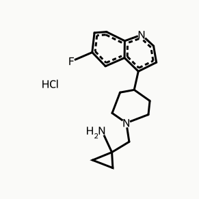 Cl.NC1(CN2CCC(c3ccnc4ccc(F)cc34)CC2)CC1